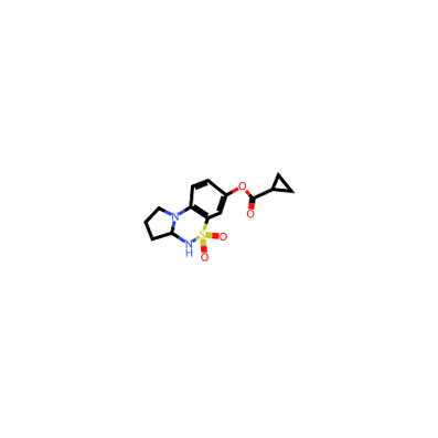 O=C(Oc1ccc2c(c1)S(=O)(=O)NC1CCCN21)C1CC1